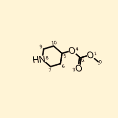 [CH2]OC(=O)OC1CCNCC1